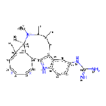 CCCCN1C(C)C(C)Cc2c([nH]c3ccc(NC(=N)N)cc23)C2/C=C\C=C/C3=C(C)C2[C@@H]31